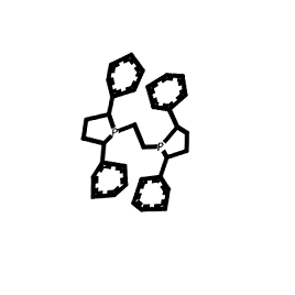 c1ccc(C2CCC(c3ccccc3)P2CCP2C(c3ccccc3)CCC2c2ccccc2)cc1